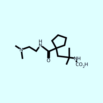 CN(C)CCNC(=O)C1(CC(C)(C)NC(=O)O)CCCC1